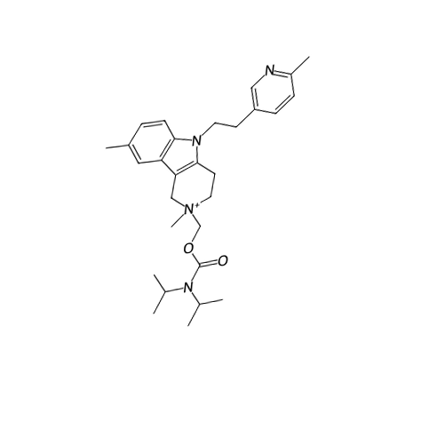 Cc1ccc2c(c1)c1c(n2CCc2ccc(C)nc2)CC[N+](C)(COC(=O)N(C(C)C)C(C)C)C1